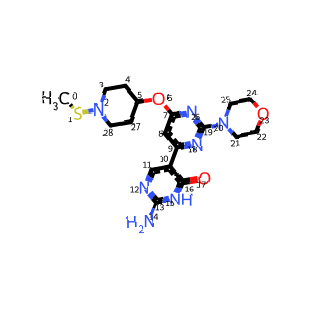 CSN1CCC(Oc2cc(-c3cnc(N)[nH]c3=O)nc(N3CCOCC3)n2)CC1